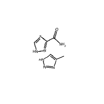 Cc1c[nH]nn1.NC(=O)c1nc[nH]n1